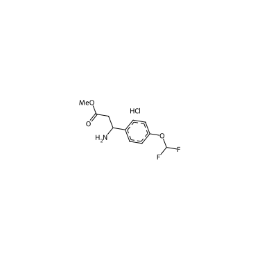 COC(=O)CC(N)c1ccc(OC(F)F)cc1.Cl